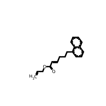 C=CCOC(=O)C=CCCCc1cccc2ccccc12